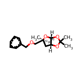 CC1(C)O[C@H]2O[C@](C)(COCc3ccccc3)C[C@H]2O1